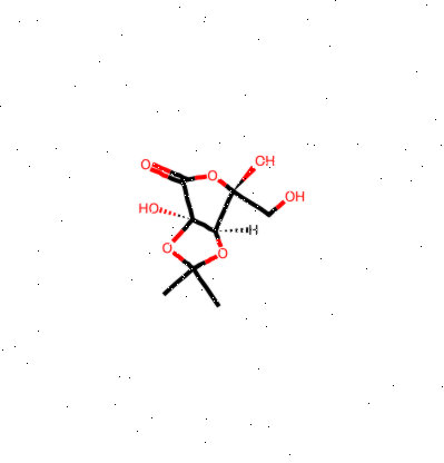 CC1(C)O[C@@H]2[C@@](O)(CO)OC(=O)[C@]2(O)O1